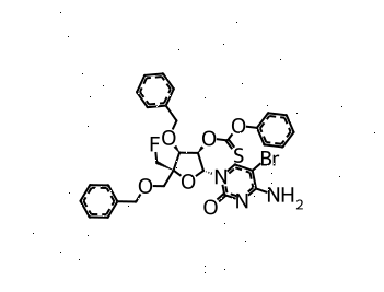 Nc1nc(=O)n([C@@H]2O[C@](CF)(COCc3ccccc3)[C@@H](OCc3ccccc3)[C@H]2OC(=S)Oc2ccccc2)cc1Br